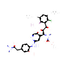 COc1cc(OC)c(P)c(C(=O)c2oc3cnc(Nc4ccc(CC(=O)N(C)C)cc4O)cc3c2N(C)C(=O)OC(C)(C)C)c1F